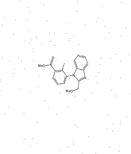 COCc1nc2ccccc2n1-c1cccc(C(=O)OC)c1C